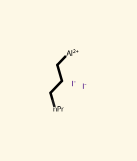 CCCCC[CH2][Al+2].[I-].[I-]